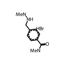 Br.CNNCc1ccc(C(=O)NC)cc1